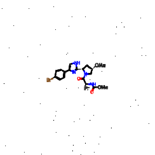 COC(=O)N[C@H](C(=O)N1C[C@@H](OC)C[C@H]1c1nc(-c2ccc(Br)cc2)c[nH]1)C(C)C